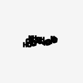 NC(=O)c1cc(C(O)CCCN2CCN(c3ccccn3)CC2)ccc1O